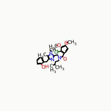 COc1ccc(C(=O)N(CCC(C)C)Cc2nc(Cc3ccccc3O)c(C)n2C)c(Cl)c1OC